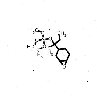 CCC(C)(O[Si](OC)(OC)OC)C1CCC2OC2C1